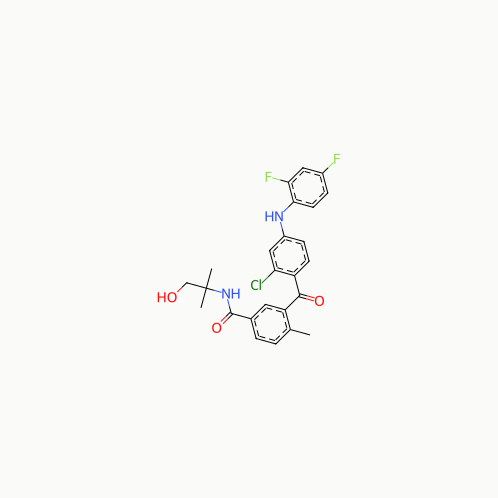 Cc1ccc(C(=O)NC(C)(C)CO)cc1C(=O)c1ccc(Nc2ccc(F)cc2F)cc1Cl